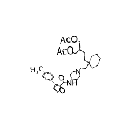 CC(=O)OCC(CCC1(CCN2CCC(NC(=O)c3occc3-c3ccc(C)cc3)CC2)CCCCC1)COC(C)=O